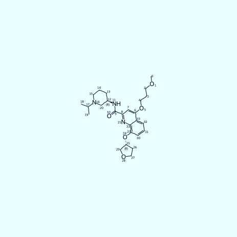 COCCCOc1cc(C(=O)N[C@@H]2CCCN(C(C)C)C2)nc2c(O[C@@H]3CCOC3)cccc12